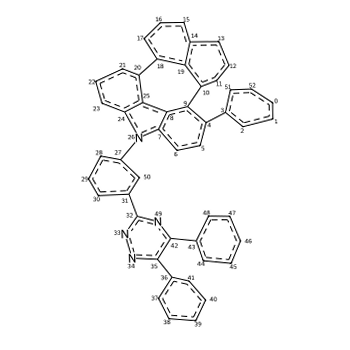 c1ccc(-c2ccc3c4c2-c2cccc5cccc(c25)-c2cccc(c24)n3-c2cccc(-c3nnc(-c4ccccc4)c(-c4ccccc4)n3)c2)cc1